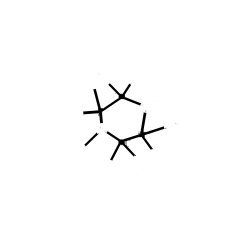 CCCN1C(F)(F)C(F)(F)OC(F)(F)C1(F)F